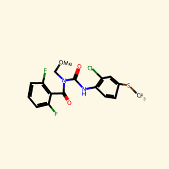 COCN(C(=O)Nc1ccc(SC(F)(F)F)cc1Cl)C(=O)c1c(F)cccc1F